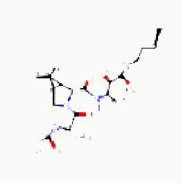 C=CCCNC(=O)C(=O)C(CCCC)NC(=O)[C@@H]1C2C(CN1C(=O)[C@@H](NC(=O)OC(C)(C)C)C(C)(C)C)C2(C)C